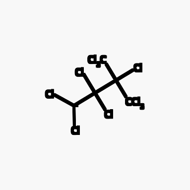 Cl[C](Cl)C(Cl)(Cl)C(Cl)(C(Cl)(Cl)Cl)C(Cl)(Cl)Cl